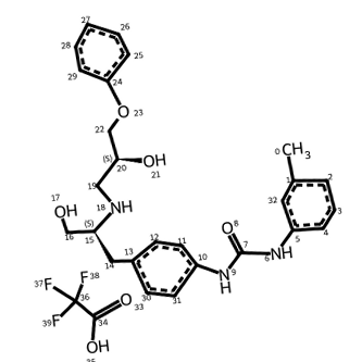 Cc1cccc(NC(=O)Nc2ccc(C[C@@H](CO)NC[C@H](O)COc3ccccc3)cc2)c1.O=C(O)C(F)(F)F